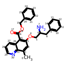 Cc1cc(OCC(N)Cc2ccccc2)c(C(=O)OCc2ccccc2)c2cccnc12